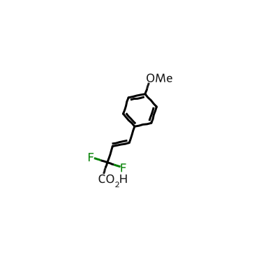 COc1ccc(/C=C/C(F)(F)C(=O)O)cc1